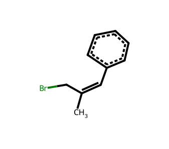 CC(=Cc1ccccc1)CBr